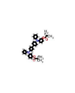 C=C(C)C(=O)Oc1cccc(N(c2ccccc2)c2ccc(-c3ccc(N(c4ccccc4)c4cccc(OC(=O)C(=C)C)c4)cc3)cc2)c1